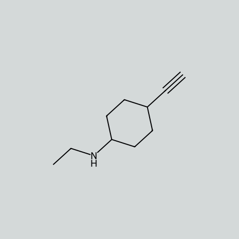 C#CC1CCC(NCC)CC1